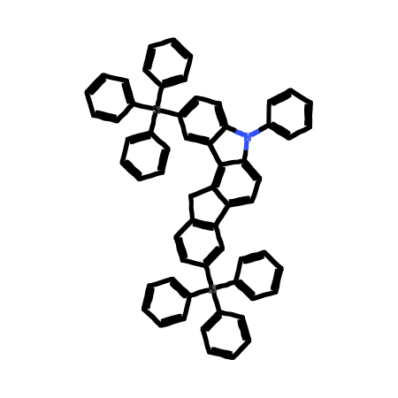 c1ccc(-n2c3ccc([Si](c4ccccc4)(c4ccccc4)c4ccccc4)cc3c3c4c(ccc32)-c2cc([Si](c3ccccc3)(c3ccccc3)c3ccccc3)ccc2C4)cc1